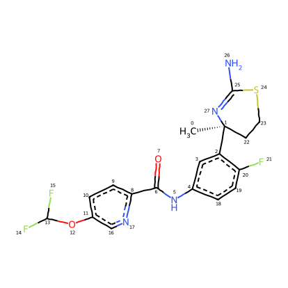 C[C@@]1(c2cc(NC(=O)c3ccc(OC(F)F)cn3)ccc2F)CCSC(N)=N1